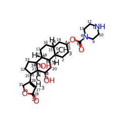 C[C@]12CC[C@H](OC(=O)N3CCNCC3)C[C@H]1CC[C@@H]1[C@@H]2C[C@@H](O)[C@]2(C)[C@@H](C3=CC(=O)OC3)CC[C@]12O